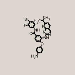 CC(C)c1ccc2cnc(Nc3cc(C(=O)Nc4ccc(Br)c(F)c4)ccc3Oc3ccc(N)cc3)nc2n1